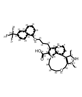 CC1NN(C)C2=C1c1cccc3c(CCCOc4cccc5cc(C(F)(F)F)ccc45)c(C(=O)O)n(c13)CCCCOC2